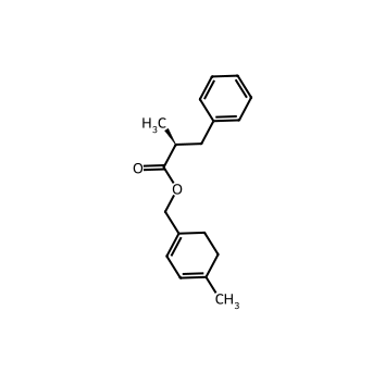 CC1=CC=C(COC(=O)[C@@H](C)Cc2ccccc2)CC1